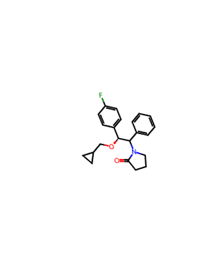 O=C1CCCN1C(c1ccccc1)[C@@H](OCC1CC1)c1ccc(F)cc1